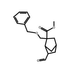 COC(=O)C1(COCc2ccccc2)CC2CC(C=O)C1C2